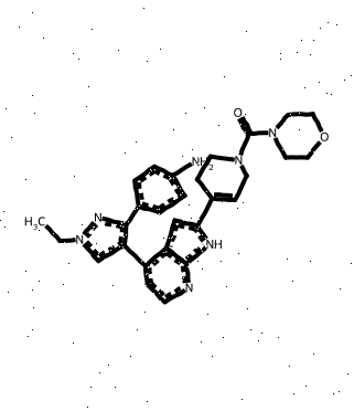 CCn1cc(-c2ccnc3[nH]c(C4=CCN(C(=O)N5CCOCC5)CC4)cc23)c(-c2ccc(N)cc2)n1